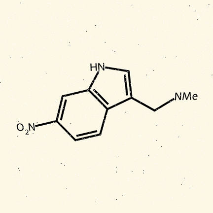 CNCc1c[nH]c2cc([N+](=O)[O-])ccc12